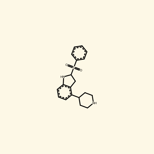 O=S(=O)(c1ccccc1)C1Cc2c(cccc2C2CCNCC2)N1